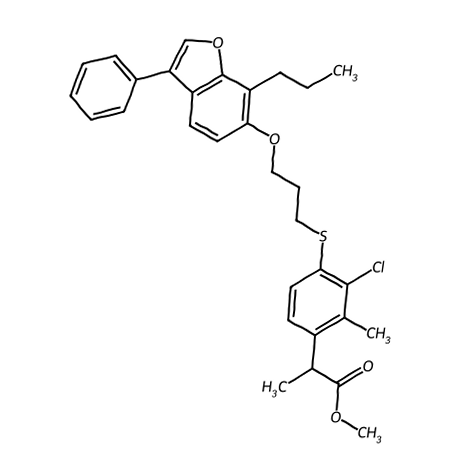 CCCc1c(OCCCSc2ccc(C(C)C(=O)OC)c(C)c2Cl)ccc2c(-c3ccccc3)coc12